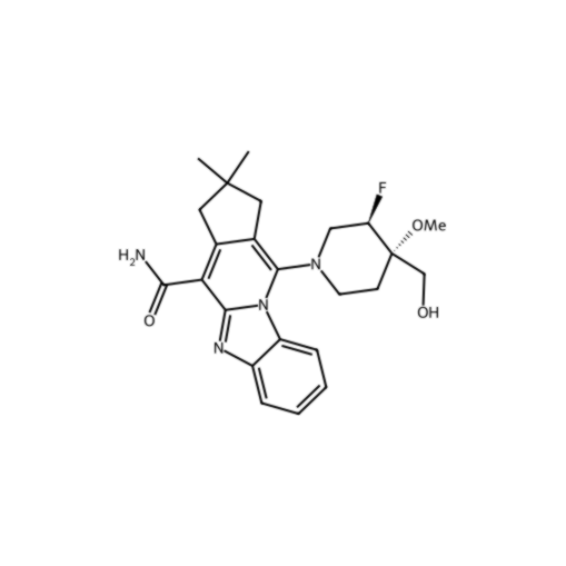 CO[C@]1(CO)CCN(c2c3c(c(C(N)=O)c4nc5ccccc5n24)CC(C)(C)C3)C[C@H]1F